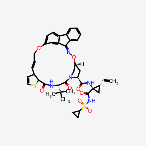 C=C[C@@H]1C[C@]1(NC(=O)[C@@H]1C[C@@H]2CN1C(=O)[C@H](C(C)(C)C)NC(=O)C1SC=CC1/C=C/COc1ccc3c(c1)/C(=N/O2)c1ccccc1-3)C(=O)NS(=O)(=O)C1CC1